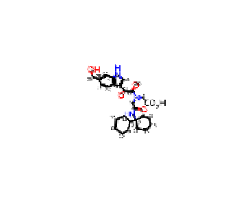 O=C(O)CN(CC(=O)NC1(C2CCCCC2)CCCCC1)C(=O)C(=O)c1c[nH]c2cc(CO)ccc12